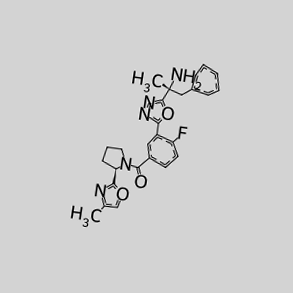 Cc1coc([C@H]2CCCN2C(=O)c2ccc(F)c(-c3nnc([C@](C)(N)Cc4ccccc4)o3)c2)n1